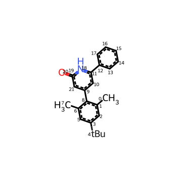 Cc1cc(C(C)(C)C)cc(C)c1-c1cc(-c2ccccc2)[nH]c(=O)c1